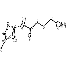 O=C(CCCO)Nc1ncc(Br)s1